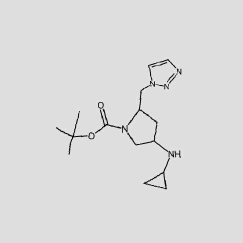 CC(C)(C)OC(=O)N1CC(NC2CC2)CC1Cn1ccnn1